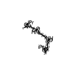 CC1CN(CCCOC(=O)NCCCCCCNC(=O)OCCCN2CC(C)OC2C(C)C)C(C(C)C)O1